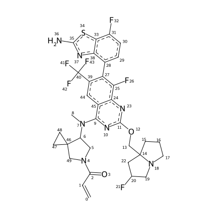 C=CC(=O)N1CC(N(C)c2nc(OCC34CCCN3CC(F)C4)nc3c(F)c(-c4ccc(F)c5sc(N)nc45)c(C(F)(F)F)cc23)C2(CC2)C1